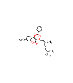 CC(=O)Oc1ccc2c(OC(=O)c3ccccc3)c(OCC=C(C)CCC=C(C)C)c(=O)oc2c1